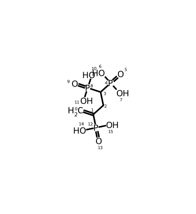 C=C(CC(P(=O)(O)O)P(=O)(O)O)P(=O)(O)O